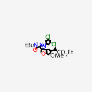 CCOC(=O)[C@@H]1CC1c1cc2c(cc1OC)OCc1c(C(=O)N(C)C(C)(C)C)nn(-c3cc(Cl)cc(Cl)c3)c1-2